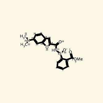 COC(=O)c1ccccc1[S+]([O-])NC(=O)c1cc2ccc(N(C)C)cc2o1